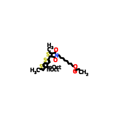 C=CC(=O)OCCCCCCCCN1C(=O)c2c(C)sc(-c3cc4c(s3)-c3sc(C)cc3C4(CCCCCCCC)CCCCCCCC)c2C1=O